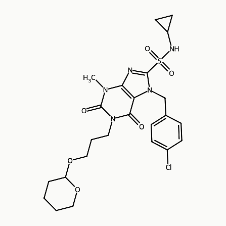 Cn1c(=O)n(CCCOC2CCCCO2)c(=O)c2c1nc(S(=O)(=O)NC1CC1)n2Cc1ccc(Cl)cc1